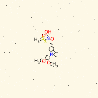 COc1ccc(N2c3ccc(/C=C/C(=O)N(CC(=O)O)C(=S)SC)cc3C3CCCC32)cc1OC